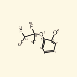 [O]c1ccccc1OC(F)(F)C(F)F